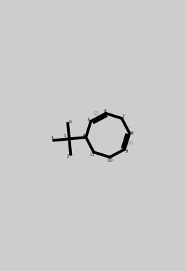 CC(C)(C)C1/C=C\C/C=C\CC1